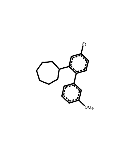 CCc1ccc(-c2cccc(OC)c2)c(C2CCCCCC2)c1